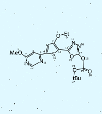 CCOc1cc(-c2cc(OC)ncn2)sc1-c1nnc(OC(=O)OC(C)(C)C)o1